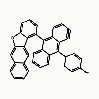 FC1=CCC(c2c3c#cccc3c(-c3cccc4oc5cc6ccccc6cc5c34)c3ccccc23)C=C1